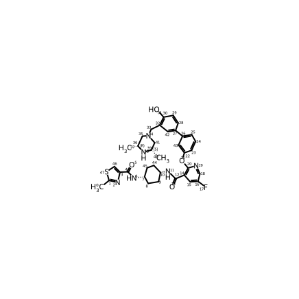 Cc1nc(C(=O)N[C@H]2CC[C@@H](NC(=O)c3cc(F)cnc3Oc3cccc(-c4ccc(O)c(CN5C[C@@H](C)N[C@@H](C)C5)c4)c3)CC2)cs1